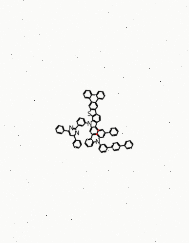 c1ccc(-c2ccc(-c3cccc(N(c4cccc(-c5ccccc5)c4)c4ccccc4-c4ccc5c6ccc7c8cc9c%10ccccc%10c%10ccccc%10c9cc8sc7c6n(-c6cccc(-c7nc(-c8ccccc8)cc(-c8ccccc8)n7)c6)c5c4)c3)cc2)cc1